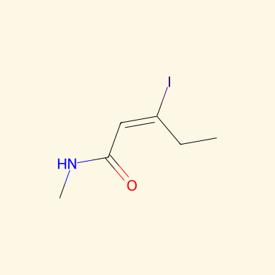 CC/C(I)=C\C(=O)NC